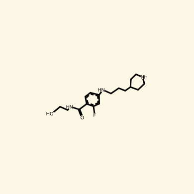 O=C(NCCO)c1ccc(NCCCC2CCNCC2)cc1F